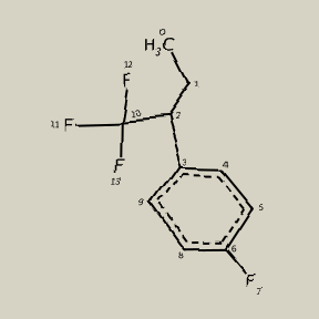 CCC(c1ccc(F)cc1)C(F)(F)F